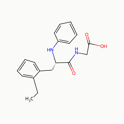 CCc1ccccc1C[C@H](Nc1ccccc1)C(=O)NCC(=O)O